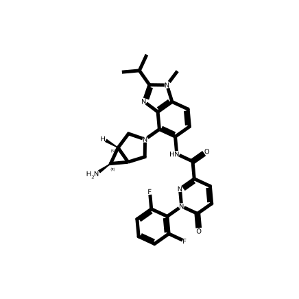 CC(C)c1nc2c(N3CC4[C@@H](N)[C@@H]4C3)c(NC(=O)c3ccc(=O)n(-c4c(F)cccc4F)n3)ccc2n1C